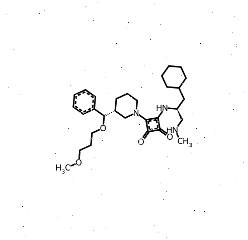 CNC[C@H](CC1CCCCC1)Nc1c(N2CCC[C@@H](C(OCCCOC)c3ccccc3)C2)c(=O)c1=O